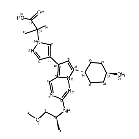 COC[C@H](C)Nc1ncc2c(-c3cnn(C(C)(C)C(=O)O)c3)cc([C@H]3CC[C@H](O)CC3)n2n1